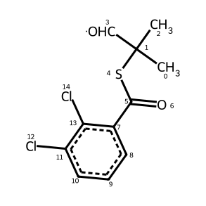 CC(C)([C]=O)SC(=O)c1cccc(Cl)c1Cl